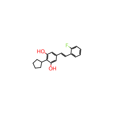 Oc1cc(C=Cc2ccccc2F)cc(O)c1C1CCCC1